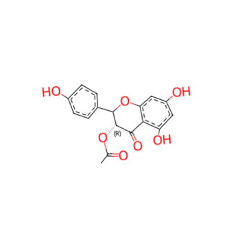 CC(=O)O[C@H]1C(=O)c2c(O)cc(O)cc2OC1c1ccc(O)cc1